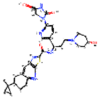 CC1(C2CCc3nc4sc(C(=O)N[C@H](CCN5CCC(O)CC5)c5ccc(N6CC(=O)NC6=O)nc5)nc4cc3C2)CC1